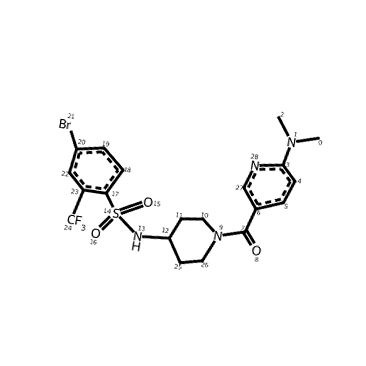 CN(C)c1ccc(C(=O)N2CCC(NS(=O)(=O)c3ccc(Br)cc3C(F)(F)F)CC2)cn1